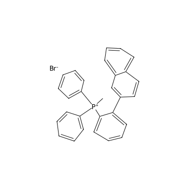 C[P+](c1ccccc1)(c1ccccc1)c1ccccc1-c1ccc2ccccc2c1.[Br-]